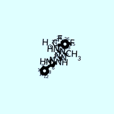 Cc1nc(Nc2cc(-c3ccccc3)[nH]n2)nc(NC(C)c2ccc(F)cc2F)n1